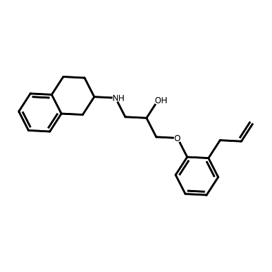 C=CCc1ccccc1OCC(O)CNC1CCc2ccccc2C1